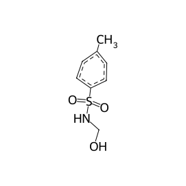 Cc1ccc(S(=O)(=O)NCO)cc1